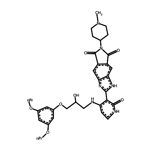 CCCOc1cc(OCCC)cc(OCC(O)CNc2cc[nH]c(=O)c2-c2nc3cc4c(cc3[nH]2)C(=O)N(C2CCN(C)CC2)C4=O)c1